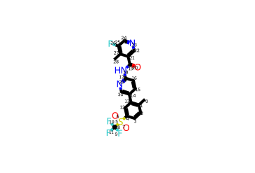 Cc1ccc(S(=O)(=O)C(F)(F)F)cc1-c1ccc(NC(=O)c2cncc(F)c2C)nc1